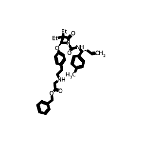 C=CC[C@@H](NC(=O)N1C(=O)C(CC)(CC)[C@@H]1Oc1ccc(CCNCC(=O)OCc2ccccc2)cc1)c1ccc(C)cc1